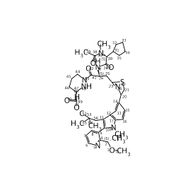 CO[C@@H](C)c1ncccc1-c1c2c3cc(ccc3n1C)C1CSC(=N1)C[C@H](NC(=O)[C@H](C1CCCC1)N(C)C(C)=O)C(=O)N1CCC[C@H](N1)C(=O)OCC(C)(C)C2